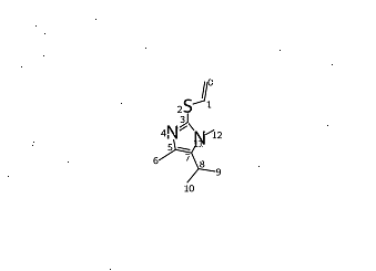 C=CSc1nc(C)c(C(C)C)n1C